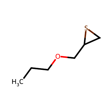 CCCOCC1CS1